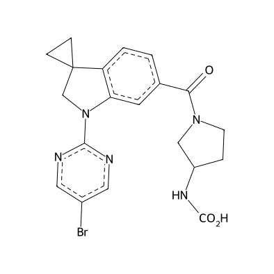 O=C(O)NC1CCN(C(=O)c2ccc3c(c2)N(c2ncc(Br)cn2)CC32CC2)C1